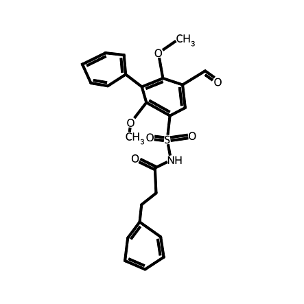 COc1c(C=O)cc(S(=O)(=O)NC(=O)CCc2ccccc2)c(OC)c1-c1ccccc1